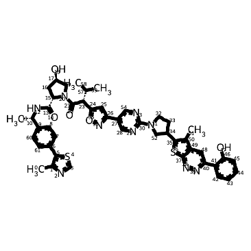 Cc1ncsc1-c1ccc([C@H](C)NC(=O)[C@@H]2C[C@@H](O)CN2C(=O)[C@@H](c2cc(-c3cnc(N4CCC(c5sc6nnc(-c7ccccc7O)cc6c5C)C4)nc3)no2)C(C)C)cc1